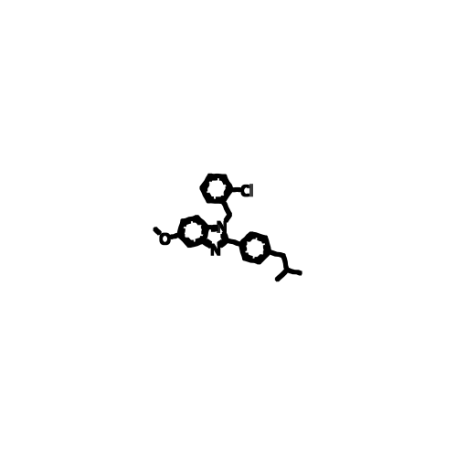 COc1ccc2c(c1)nc(-c1ccc(CC(C)C)cc1)n2Cc1ccccc1Cl